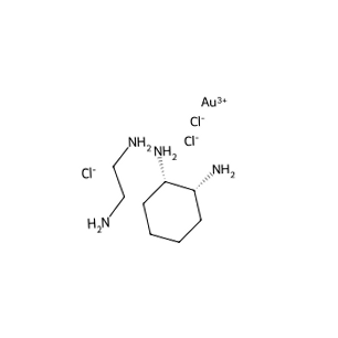 NCCN.N[C@@H]1CCCC[C@@H]1N.[Au+3].[Cl-].[Cl-].[Cl-]